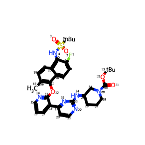 CCCCS(=O)(=O)Nc1c(F)ccc2c(Oc3ncccc3-c3ccnc(NC4CCCN(C(=O)OC(C)(C)C)C4)n3)c(C)ccc12